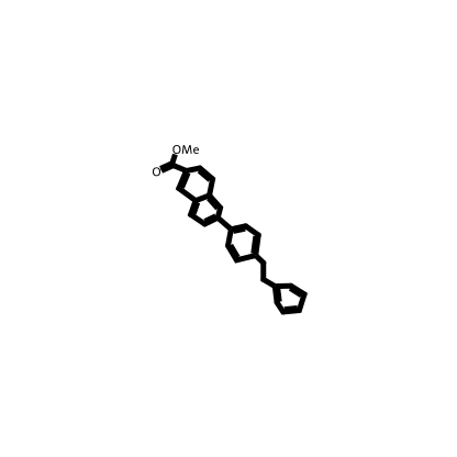 COC(=O)c1ccc2cc(-c3ccc(CCc4ccccc4)cc3)ccc2c1